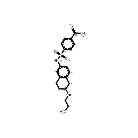 CCCN[C@H]1CCc2cc(NS(=O)(=O)c3ccc(C(C)=O)cc3)ccc2C1